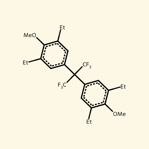 CCc1cc(C(c2cc(CC)c(OC)c(CC)c2)(C(F)(F)F)C(F)(F)F)cc(CC)c1OC